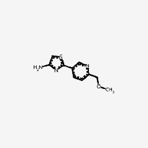 COCc1ccc(-c2nc(N)cs2)cn1